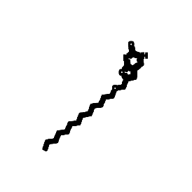 CCCCCCCCCCCCCOCc1cc2c[nH]c(=O)nc2o1